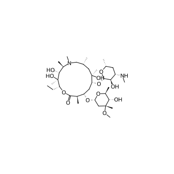 CC[C@H]1OC(=O)[C@H](C)[C@@H](O[C@H]2C[C@@](C)(OC)[C@@H](O)[C@H](C)O2)C[C@@H](O[C@@H]2O[C@H](C)C[C@H](NC)[C@H]2O)[C@](C)(O)C[C@@H](C)CN(C)[C@H](C)[C@@H](O)[C@]1(C)O